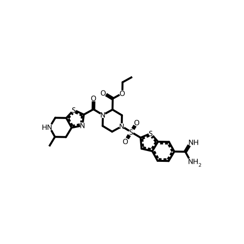 CCOC(=O)C1CN(S(=O)(=O)c2cc3ccc(C(=N)N)cc3s2)CCN1C(=O)c1nc2c(s1)CNC(C)C2